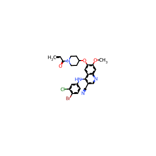 C=CC(=O)N1CCC(Oc2cc3c(Nc4ccc(Br)c(Cl)c4)c(C#N)cnc3cc2OC)CC1